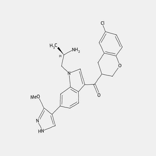 COc1n[nH]cc1-c1ccc2c(C(=O)C3COc4ccc(Cl)cc4C3)cn(C[C@@H](C)N)c2c1